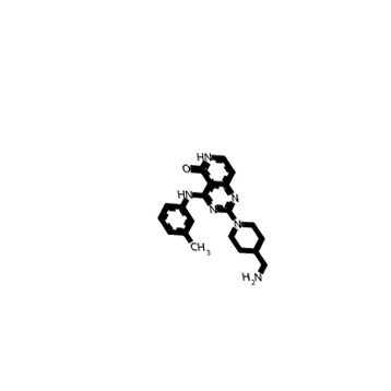 Cc1cccc(Nc2nc(N3CCC(CN)CC3)nc3cc[nH]c(=O)c23)c1